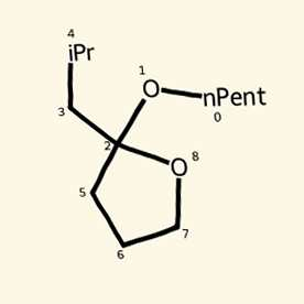 CCCCCOC1(CC(C)C)CCCO1